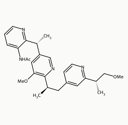 COC[C@H](C)c1cc(C[C@@H](C)c2ncc([C@@H](C)c3ncccc3NC(C)=O)cc2OC)ccn1